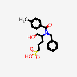 Cc1ccc(C(=O)N(Cc2ccccc2)C(CO)CCCS(=O)(=O)O)cc1